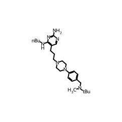 CCCCNc1nc(N)ncc1CCCN1CCN(c2ccc(CN(C)C(C)(C)C)cc2)CC1